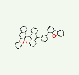 c1cc(-c2c3ccccc3c(-c3c4ccccc4cc4c3oc3ccccc34)c3ccccc23)cc(-c2cccc3c2oc2ccccc23)c1